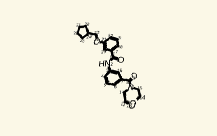 O=C(Nc1cccc(C(=O)N2CCOCC2)c1)c1cccc(OCC2CCCC2)c1